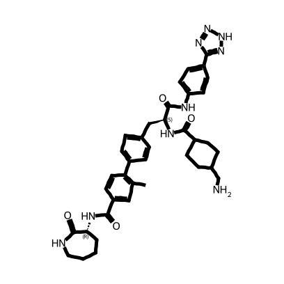 Cc1cc(C(=O)N[C@@H]2CCCCNC2=O)ccc1-c1ccc(C[C@H](NC(=O)C2CCC(CN)CC2)C(=O)Nc2ccc(-c3nn[nH]n3)cc2)cc1